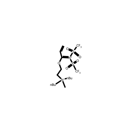 C=CC(OCC[N+](C)(CCCC)CCCC)=[N+](S(=O)(=O)C(F)(F)F)S(=O)(=O)C(F)(F)F